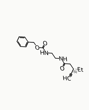 C#C[C@@H](CC)CC(=O)NCCNC(=O)OCc1ccccc1